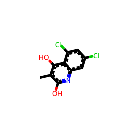 Cc1c(O)nc2cc(Cl)cc(Cl)c2c1O